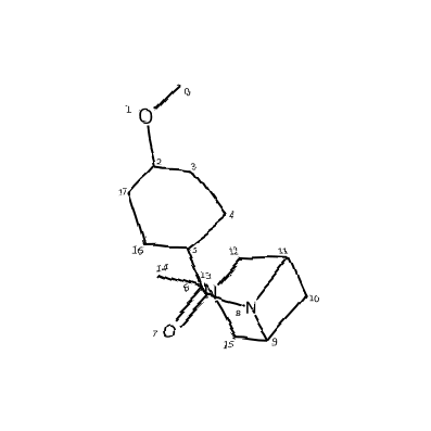 COC1CCC(C(=O)N2C3CC2CN(C)C3)CC1